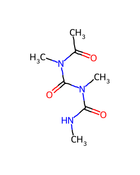 CNC(=O)N(C)C(=O)N(C)C(C)=O